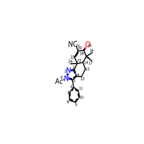 CC(=O)n1nc2c(c1-c1ccccc1)CCC1C(C)(C)C(=O)C(C#N)=CC21C